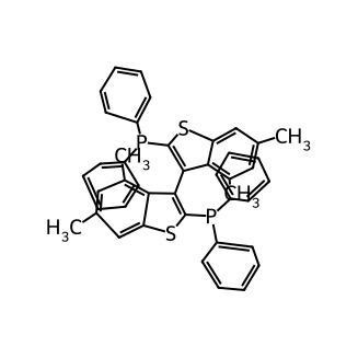 Cc1cc(C)c2c(-c3c(P(c4ccccc4)c4ccccc4)sc4cc(C)cc(C)c34)c(P(c3ccccc3)c3ccccc3)sc2c1